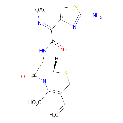 C=CC1=C(C(=O)O)N2C(=O)C(NC(=O)C(=NOC(C)=O)c3csc(N)n3)[C@@H]2SC1